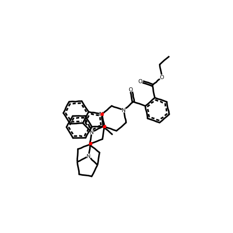 CCOC(=O)c1ccccc1C(=O)N1CCC(CCN2C3CCC2CC(n2c(C)nc4ccccc42)C3)(c2ccccc2)CC1